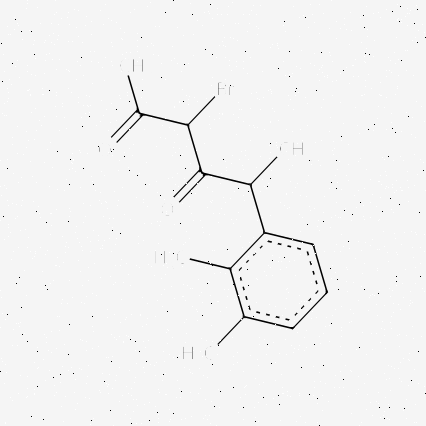 CC(=O)C(Br)C(=O)C(C)c1cccc(C)c1C